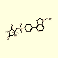 C[C@]1(CS(=O)(=O)N2CC=C(c3cccc4c3CCN4C=O)CC2)NC(=O)NC1=O